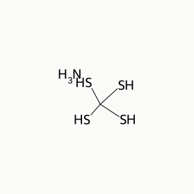 N.SC(S)(S)S